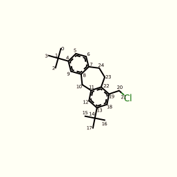 CC(C)(C)c1ccc2c(c1)Cc1cc(C(C)(C)C)cc(CCl)c1CC2